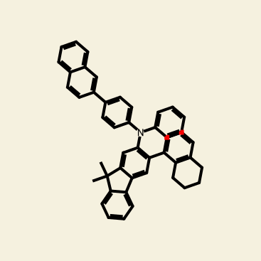 CC1(C)c2ccccc2-c2cc(-c3cccc4c3CCCC4)c(N(c3ccccc3)c3ccc(-c4ccc5ccccc5c4)cc3)cc21